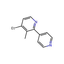 CCc1ccnc(-c2ccncc2)c1C